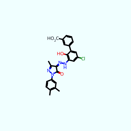 CC1=NN(c2ccc(C)c(C)c2)C(=O)C1=NNc1cc(Cl)cc(-c2cccc(C(=O)O)c2)c1O